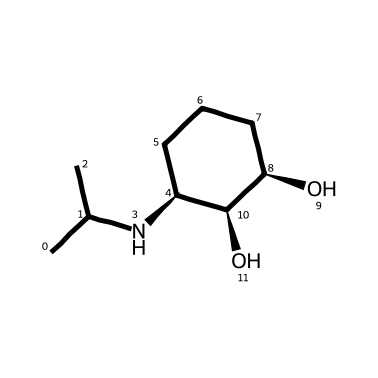 CC(C)N[C@H]1CCC[C@@H](O)[C@H]1O